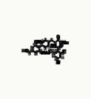 COC(=O)[C@H](Cc1ccc(-c2c(OC)cc(CO)cc2OC)cc1)NC(=O)c1c(Cl)cc(Br)cc1Cl